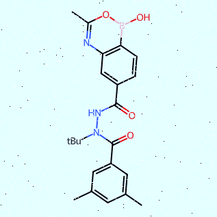 CC1=Nc2cc(C(=O)NN(C(=O)c3cc(C)cc(C)c3)C(C)(C)C)ccc2B(O)O1